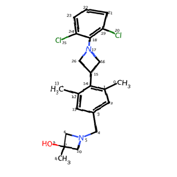 Cc1cc(CN2CC(C)(O)C2)cc(C)c1C1CN(c2c(Cl)cccc2Cl)C1